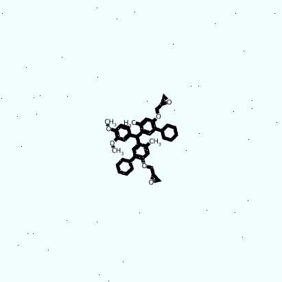 COc1ccc(C(c2cc(C3CCCCC3)c(OCC3CO3)cc2C)c2cc(C3CCCCC3)c(OCC3CO3)cc2C)cc1OC